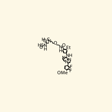 CCc1cc(Nc2nccn3c(-c4ccc(OC)c(F)c4F)cnc23)ccc1C(=O)NCCOCCN(C)CC(=O)N[SH]=O